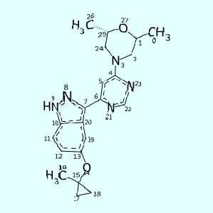 CC1CN(c2cc(-c3n[nH]c4ccc(OC5(C)CC5)cc34)ncn2)C[C@H](C)O1